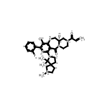 C=CC(=O)N1CCN2C(=O)c3c(N4CCC5(CCN(C)C5)C4(C)C)nc(-c4ccccc4F)c(Cl)c3OC[C@H]2C1